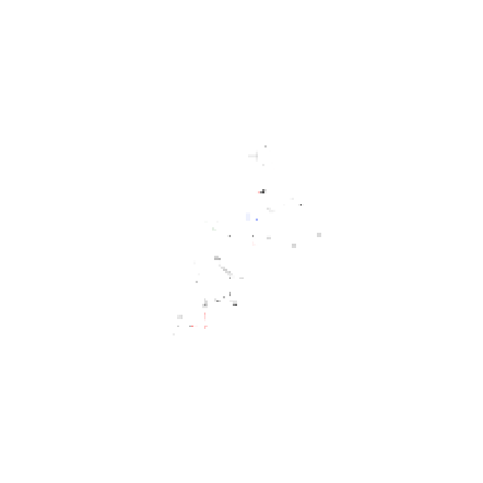 COC(=O)C1(NC(=O)C(Cl)c2ccc(OC)cc2)CCCCC1